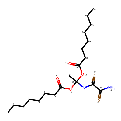 CCCCCCCC(=O)OC(C)(NC(=S)C(N)=S)OC(=O)CCCCCCC